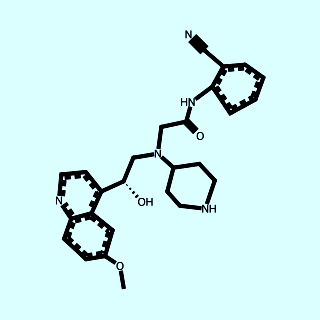 COc1ccc2nccc([C@@H](O)CN(CC(=O)Nc3ccccc3C#N)C3CCNCC3)c2c1